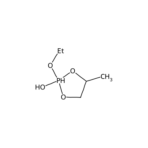 CCO[PH]1(O)OCC(C)O1